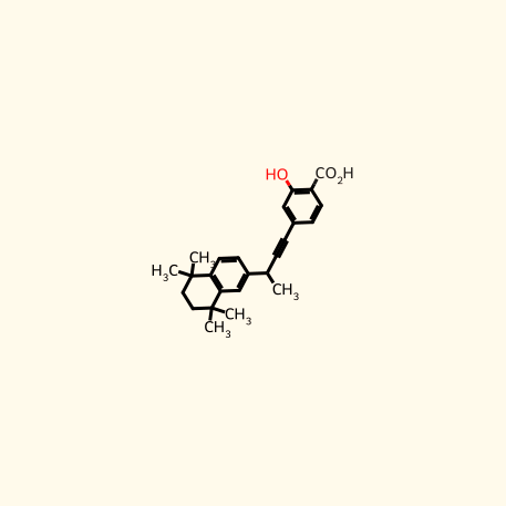 CC(C#Cc1ccc(C(=O)O)c(O)c1)c1ccc2c(c1)C(C)(C)CCC2(C)C